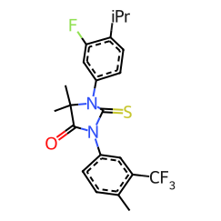 Cc1ccc(N2C(=O)C(C)(C)N(c3ccc(C(C)C)c(F)c3)C2=S)cc1C(F)(F)F